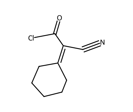 N#CC(C(=O)Cl)=C1CCCCC1